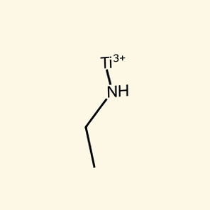 CC[NH][Ti+3]